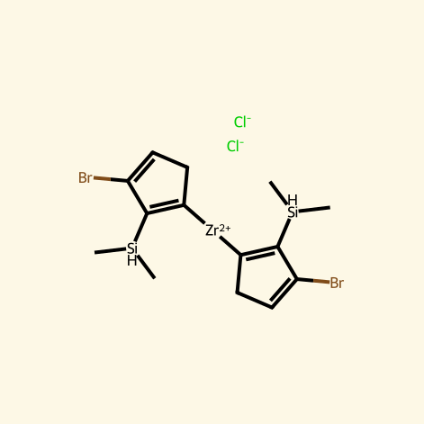 C[SiH](C)C1=[C]([Zr+2][C]2=C([SiH](C)C)C(Br)=CC2)CC=C1Br.[Cl-].[Cl-]